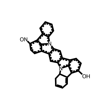 O=Nc1ccc2c3cc4c(cc3n3c5ccccc5c1c23)c1ccc(O)c2c1n4C1CC=CC=C21